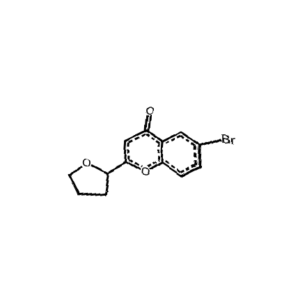 O=c1cc(C2CCCO2)oc2ccc(Br)cc12